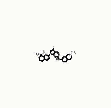 CN1CCc2ccc(Nc3ncc4c(F)cn(-c5ccc6c(n5)C(C)(N)CCC6)c4n3)cc2C1